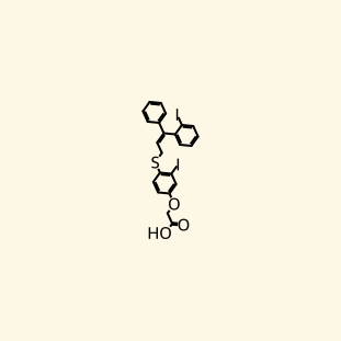 O=C(O)COc1ccc(SCC=C(c2ccccc2)c2ccccc2I)c(I)c1